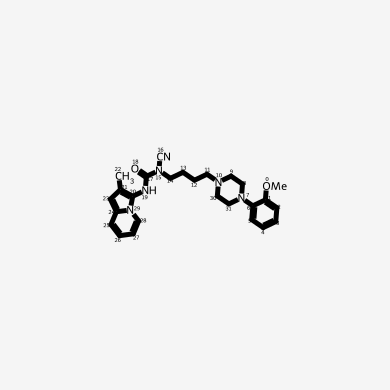 COc1ccccc1N1CCN(CCCCN(C#N)C(=O)Nc2c(C)cc3ccccn23)CC1